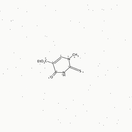 CCOC(=O)c1cn(C)c(=S)[nH]c1=O